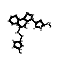 COc1cc(-c2nnc3c4ccccc4c(OCc4cn(C)cn4)nn23)no1